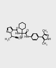 [2H]C(NC(=O)c1ccnn1C(C)C#C)(C(=O)Nc1ccc(-c2c(C)n[nH]c2C)cc1)C1CCCCC1